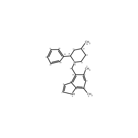 Cc1cc(C)c2[nH]ccc2c1CN1CCC(C)CC1c1ccccc1